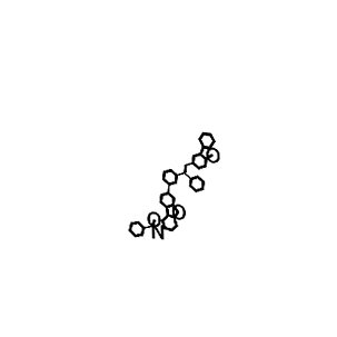 C(=C(/c1ccccc1)c1cccc(-c2ccc3c(c2)oc2ccc4nc(-c5ccccc5)oc4c23)c1)/c1ccc2oc3ccccc3c2c1